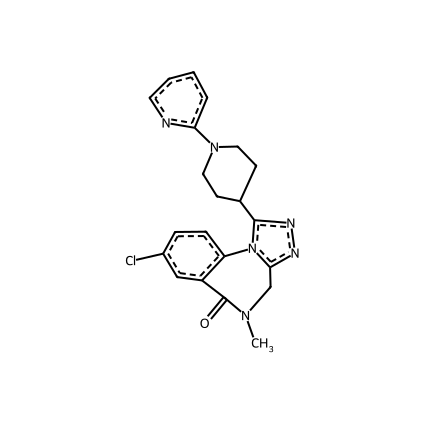 CN1Cc2nnc(C3CCN(c4ccccn4)CC3)n2-c2ccc(Cl)cc2C1=O